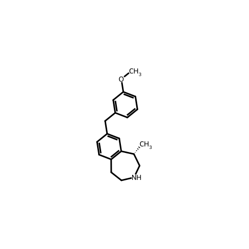 COc1cccc(Cc2ccc3c(c2)[C@H](C)CNCC3)c1